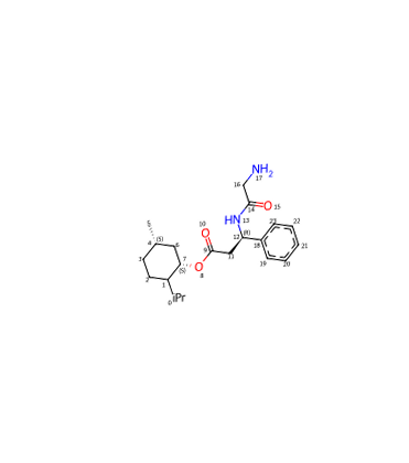 CC(C)C1CC[C@H](C)C[C@@H]1OC(=O)C[C@@H](NC(=O)CN)c1ccccc1